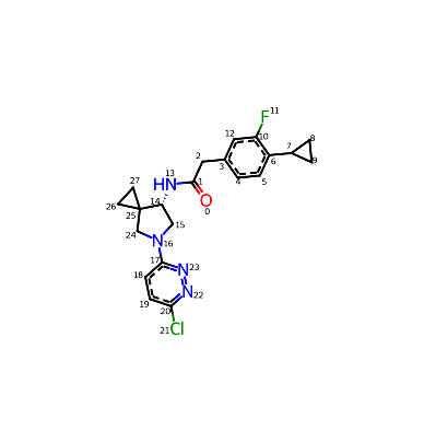 O=C(Cc1ccc(C2CC2)c(F)c1)N[C@@H]1CN(c2ccc(Cl)nn2)CC12CC2